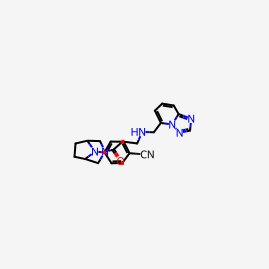 N#Cc1ccc(N2C3CCC2CN(C(=O)CCNCc2cccc4ncnn24)C3)cc1